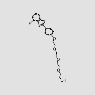 OCCOCCOCCOCCOc1ccc(-c2nc3cccc(F)c3s2)cc1